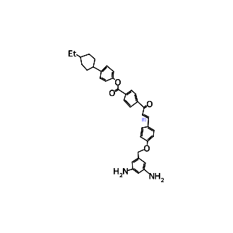 CCC1CCC(c2ccc(OC(=O)c3ccc(C(=O)/C=C/c4ccc(OCc5cc(N)cc(N)c5)cc4)cc3)cc2)CC1